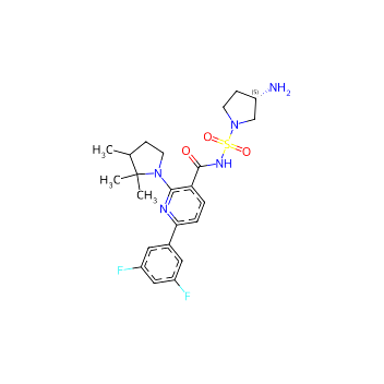 CC1CCN(c2nc(-c3cc(F)cc(F)c3)ccc2C(=O)NS(=O)(=O)N2CC[C@H](N)C2)C1(C)C